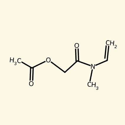 C=CN(C)C(=O)COC(C)=O